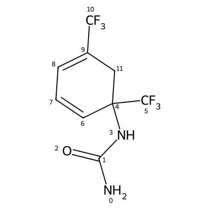 NC(=O)NC1(C(F)(F)F)C=CC=C(C(F)(F)F)C1